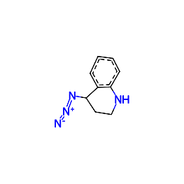 [N-]=[N+]=NC1CCNc2ccccc21